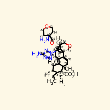 CC(C)[C@@H](C)[C@@]1(C)CC[C@]2(C)[C@H]3CC[C@@H]4[C@@]5(COC[C@]4(C)[C@@H](OCC4(N)CCOCC4)[C@H](n4nnc(N)n4)C5)C3=CC[C@@]2(C)[C@@H]1C(=O)O